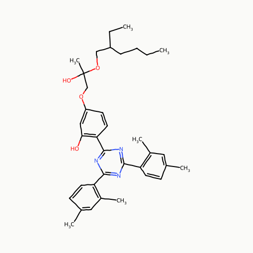 CCCCC(CC)COC(C)(O)COc1ccc(-c2nc(-c3ccc(C)cc3C)nc(-c3ccc(C)cc3C)n2)c(O)c1